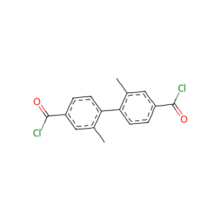 Cc1cc(C(=O)Cl)ccc1-c1ccc(C(=O)Cl)cc1C